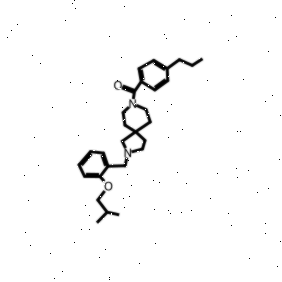 CCCc1ccc(C(=O)N2CCC3(CCN(Cc4ccccc4OCC(C)C)C3)CC2)cc1